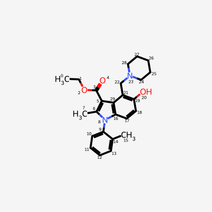 CCOC(=O)c1c(C)n(-c2ccccc2C)c2ccc(O)c(CN3CCCCC3)c12